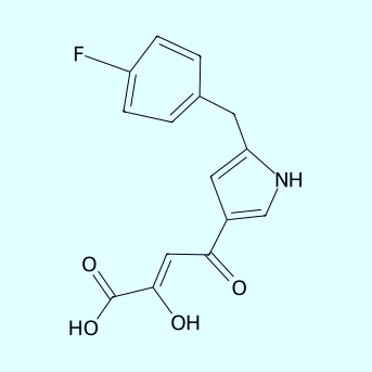 O=C(O)/C(O)=C/C(=O)c1c[nH]c(Cc2ccc(F)cc2)c1